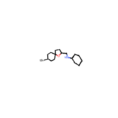 CC(C)(C)C1CCC2(CCC(CNC3CCCCC3)O2)CC1